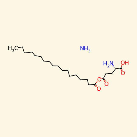 CCCCCCCCCCCCCCCCCC(=O)OC(=O)CC[C@H](N)C(=O)O.N